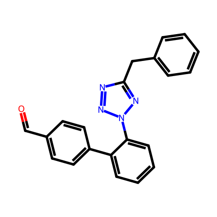 O=Cc1ccc(-c2ccccc2-n2nnc(Cc3ccccc3)n2)cc1